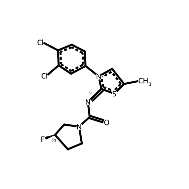 Cc1cn(-c2ccc(Cl)c(Cl)c2)/c(=N/C(=O)N2CC[C@@H](F)C2)s1